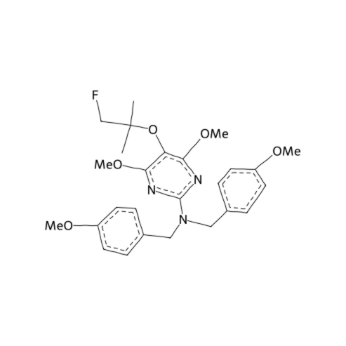 COc1ccc(CN(Cc2ccc(OC)cc2)c2nc(OC)c(OC(C)(C)CF)c(OC)n2)cc1